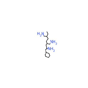 CCC(CN)CCC(CN)CC(N)C[C]1CCCCC1